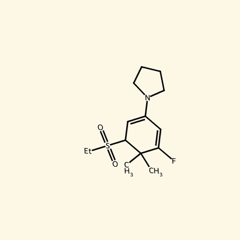 CCS(=O)(=O)C1C=C(N2CCCC2)C=C(F)C1(C)C